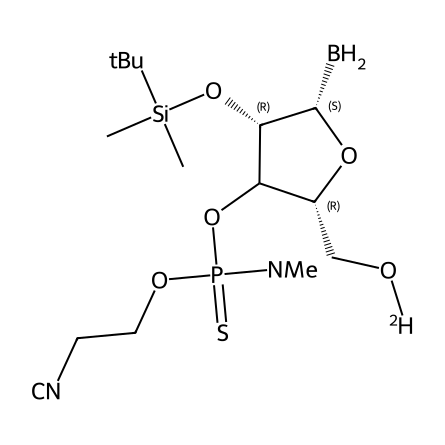 [2H]OC[C@H]1O[C@@H](B)[C@@H](O[Si](C)(C)C(C)(C)C)C1OP(=S)(NC)OCC[N+]#[C-]